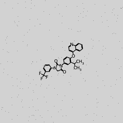 CC(C)c1cc(N2C(=O)CN(c3cccc(C(F)(F)F)c3)C2=O)ccc1Oc1ccnc2ccccc12